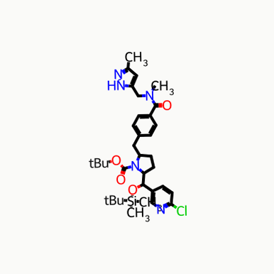 Cc1cc(CN(C)C(=O)c2ccc(CC3CCC(C(O[Si](C)(C)C(C)(C)C)c4ccc(Cl)nc4)N3C(=O)OC(C)(C)C)cc2)[nH]n1